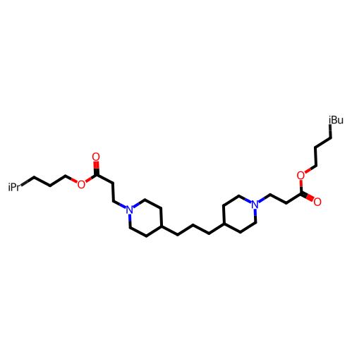 CCC(C)CCCOC(=O)CCN1CCC(CCCC2CCN(CCC(=O)OCCCC(C)C)CC2)CC1